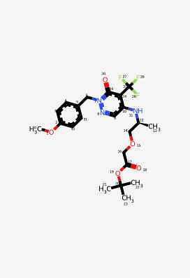 COc1ccc(Cn2ncc(N[C@@H](C)COCC(=O)OC(C)(C)C)c(C(F)(F)F)c2=O)cc1